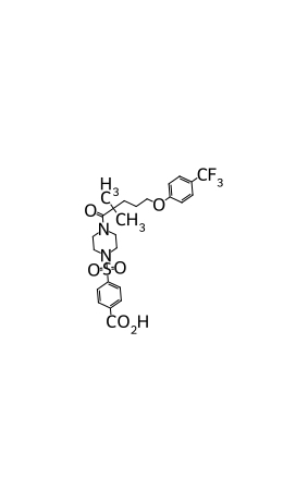 CC(C)(CCCOc1ccc(C(F)(F)F)cc1)C(=O)N1CCN(S(=O)(=O)c2ccc(C(=O)O)cc2)CC1